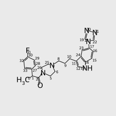 CC(C(=O)N1CCN(CCCc2c[nH]c3ccc(-n4cnnc4)cc23)CC1)c1ccc(F)cc1